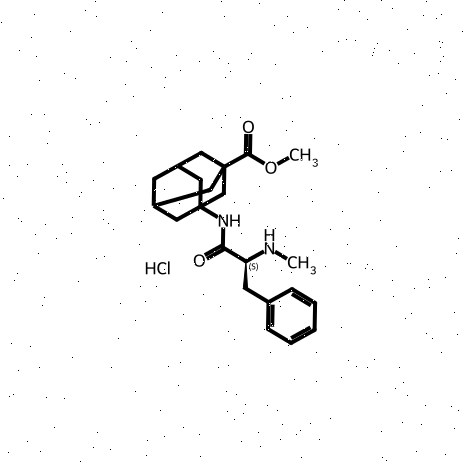 CN[C@@H](Cc1ccccc1)C(=O)NC12CC3CC(C1)CC(C(=O)OC)(C3)C2.Cl